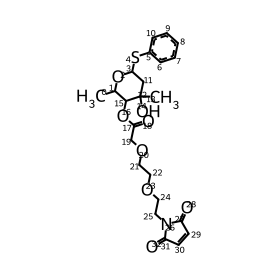 CC1OC(Sc2ccccc2)CC(C)(O)C1OC(=O)COCCOCCN1C(=O)C=CC1=O